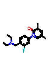 CCN(CC)Cc1ccc(-n2cc(C)cc(C)c2=O)cc1F